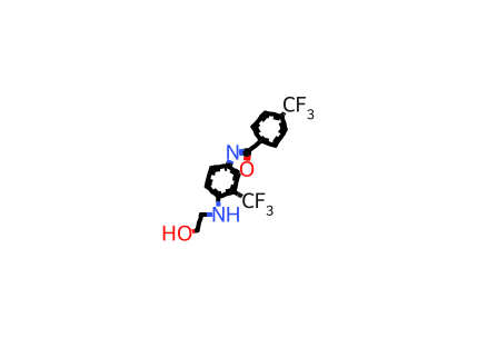 OCCNc1ccc2nc(-c3ccc(C(F)(F)F)cc3)oc2c1C(F)(F)F